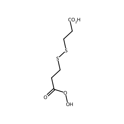 O=C(O)CCSSCCC(=O)OO